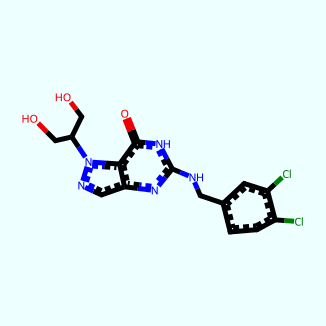 O=c1[nH]c(NCc2ccc(Cl)c(Cl)c2)nc2cnn(C(CO)CO)c12